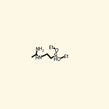 CCO[SiH](CCNC(C)N)OCC